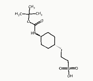 CC(C)(C)OC(=O)N[C@H]1CC[C@H](CCCS(=O)(=O)O)CC1